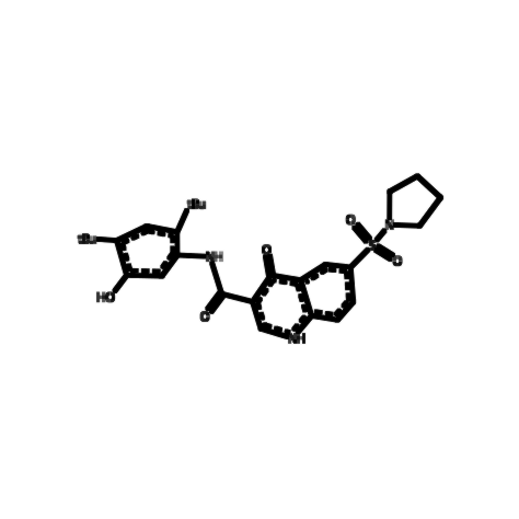 CC(C)(C)c1cc(C(C)(C)C)c(NC(=O)c2c[nH]c3ccc(S(=O)(=O)N4CCCC4)cc3c2=O)cc1O